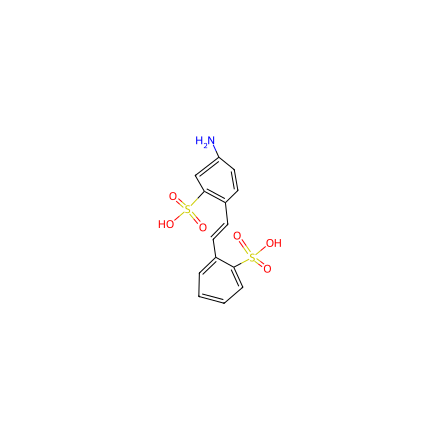 Nc1ccc(C=Cc2ccccc2S(=O)(=O)O)c(S(=O)(=O)O)c1